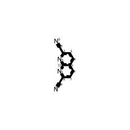 N#Cc1ccc2ccc(C#N)nc2n1